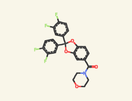 O=C(c1ccc2c(c1)OC(c1ccc(F)c(F)c1)(c1ccc(F)c(F)c1)O2)N1CCOCC1